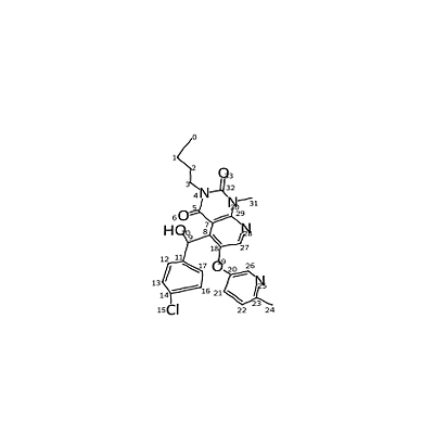 CCCCn1c(=O)c2c(C(O)c3ccc(Cl)cc3)c(Oc3ccc(C)nc3)cnc2n(C)c1=O